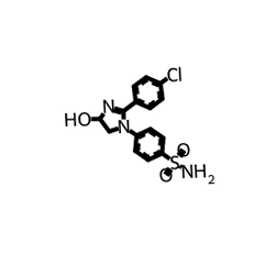 NS(=O)(=O)c1ccc(N2CC(O)N=C2c2ccc(Cl)cc2)cc1